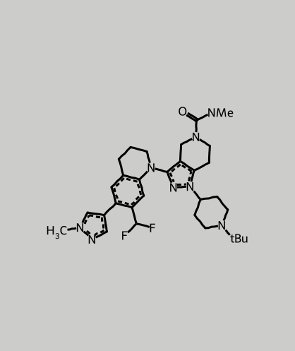 CNC(=O)N1CCc2c(c(N3CCCc4cc(-c5cnn(C)c5)c(C(F)F)cc43)nn2C2CCN(C(C)(C)C)CC2)C1